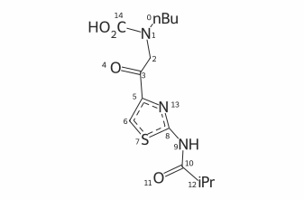 CCCCN(CC(=O)c1csc(NC(=O)C(C)C)n1)C(=O)O